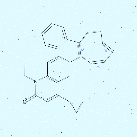 CCn1c(=O)cc(C2CC2)c2cc(C3=C(\c4ccccc4)CC/C=C/C=C\3)ccc21